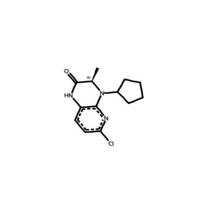 C[C@@H]1C(=O)Nc2ccc(Cl)nc2N1C1CCCC1